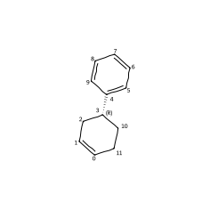 C1=CC[C@H](c2ccccc2)CC1